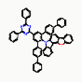 c1ccc(-c2ccc(-c3cc(-c4nc(-c5ccccc5)nc(-c5ccccc5)n4)cc(-c4ccc(-c5ccccc5)cc4)c3-n3c4ccccc4c4c5oc6ccccc6c5ccc43)cc2)cc1